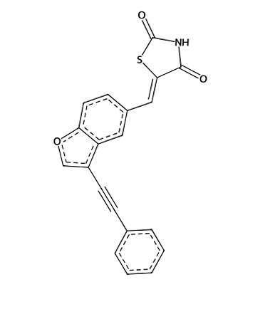 O=C1NC(=O)/C(=C/c2ccc3occ(C#Cc4ccccc4)c3c2)S1